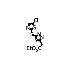 CCOC(=O)Cc1nnc(Sc2ncc(Cl)s2)s1